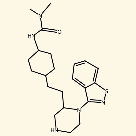 CN(C)C(=O)NC1CCC(CCC2CNCCN2c2nsc3ccccc23)CC1